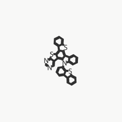 c1ccc2c(c1)sc1c(-n3c4ccccc4c4c5sc6ccccc6c5c5sc6ncncc6c5c43)cccc12